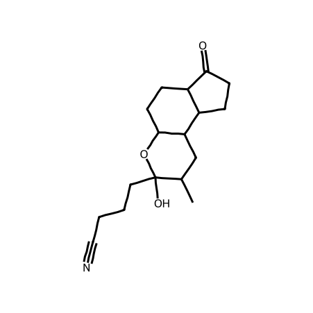 CC1CC2C(CCC3C(=O)CCC32)OC1(O)CCCC#N